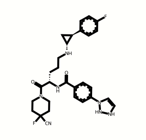 N#CC1(F)CCN(C(=O)[C@H](CCCN[C@@H]2C[C@H]2c2ccc(F)cc2)NC(=O)c2ccc(N3C=CNN3)cc2)CC1